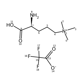 C[N+](C)(C)CCC[C@H](N)C(=O)O.O=C([O-])C(F)(F)F